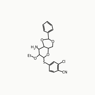 CCOC1C(Sc2ccc(C#N)c(Cl)c2)OC2COC(c3ccccc3)OC2C1N